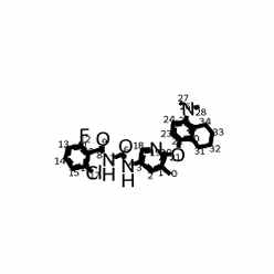 Cc1cc(NC(=O)NC(=O)c2c(F)cccc2Cl)cnc1Oc1ccc(N(C)C)c2c1CCCC2